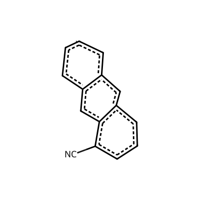 N#Cc1cccc2cc3c[c]ccc3cc12